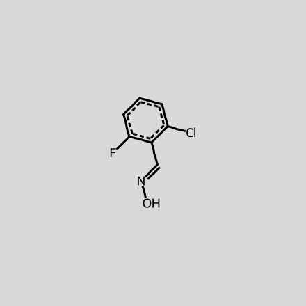 O/N=C/c1c(F)cccc1Cl